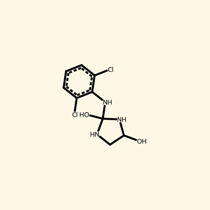 OC1CNC(O)(Nc2c(Cl)cccc2Cl)N1